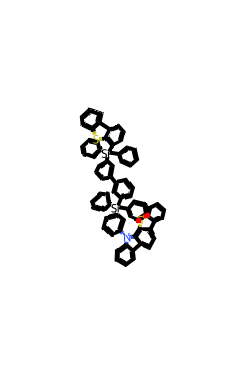 c1ccc([Si](c2ccccc2)(c2cccc(-c3cccc([Si](c4ccccc4)(c4ccccc4)c4cccc5c4sc4ccccc45)c3)c2)c2cccc(-n3c4ccccc4c4ccc5c6ccccc6sc5c43)c2)cc1